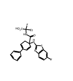 CCC(F)(NC(=O)C1(Nc2nc3ccc(F)cc3s2)C=CC(c2ccccc2)=CC1)C(=O)O